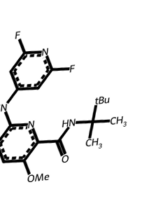 COc1ccc(Nc2cc(F)nc(F)c2)nc1C(=O)NC(C)(C)C(C)(C)C